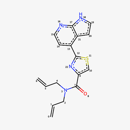 C=CCN(CC=C)C(=O)c1csc(-c2ccnc3[nH]ccc23)n1